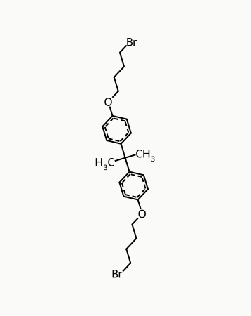 CC(C)(c1ccc(OCCCCBr)cc1)c1ccc(OCCCCBr)cc1